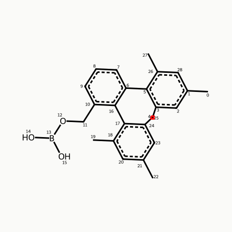 Cc1cc(C)c(-c2cccc(COB(O)O)c2-c2c(C)cc(C)cc2C)c(C)c1